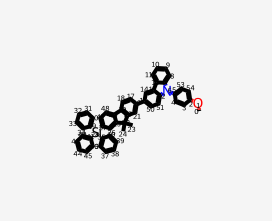 COc1ccc(-n2c3ccccc3c3cc(-c4ccc5c(c4)C(C)(C)c4cc([Si](c6ccccc6)(c6ccccc6)c6ccccc6)ccc4-5)ccc32)cc1